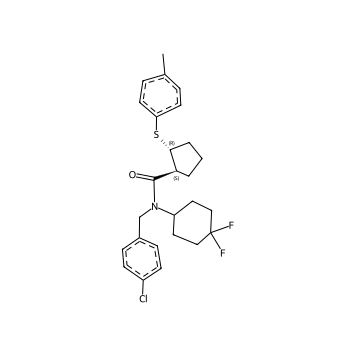 Cc1ccc(S[C@@H]2CCC[C@H]2C(=O)N(Cc2ccc(Cl)cc2)C2CCC(F)(F)CC2)cc1